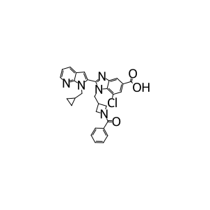 O=C(O)c1cc(Cl)c2c(c1)nc(-c1cc3cccnc3n1CC1CC1)n2CC1CN(C(=O)c2ccccc2)C1